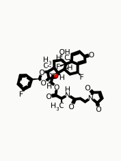 C[C@H](NC(=O)CCN1C(=O)C=CC1=O)C(=O)OCC(=O)[C@@]12O[C@H](c3cccc(F)c3)O[C@@H]1C[C@H]1[C@@H]3C[C@H](F)C4=CC(=O)C=C[C@]4(C)[C@@]3(F)[C@@H](O)C[C@@]12C